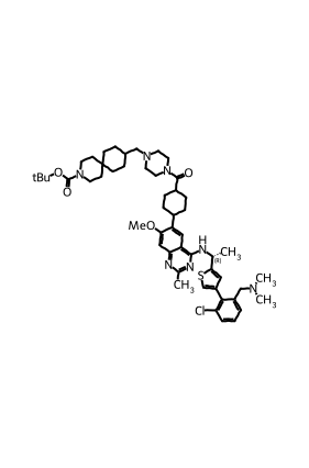 COc1cc2nc(C)nc(N[C@H](C)c3cc(-c4c(Cl)cccc4CN(C)C)cs3)c2cc1C1CCC(C(=O)N2CCN(CC3CCC4(CC3)CCN(C(=O)OC(C)(C)C)CC4)CC2)CC1